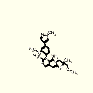 COCC(C)(C)CN1C=CC2=CN=C(N)N(c3ccc(-c4cnn(C)c4)cc3OC)C2=C1N